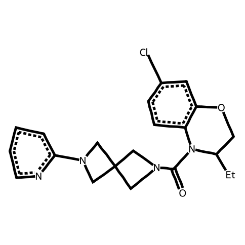 CCC1COc2cc(Cl)ccc2N1C(=O)N1CC2(C1)CN(c1ccccn1)C2